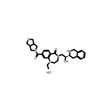 CCN1CCN(CC(O)[C@@H]2Cc3ccccc3CN2)C(=O)c2ccc(C(=O)N3CC4COCC4C3)cc21.Cl